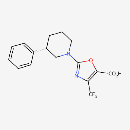 O=C(O)c1oc(N2CCC[C@@H](c3ccccc3)C2)nc1C(F)(F)F